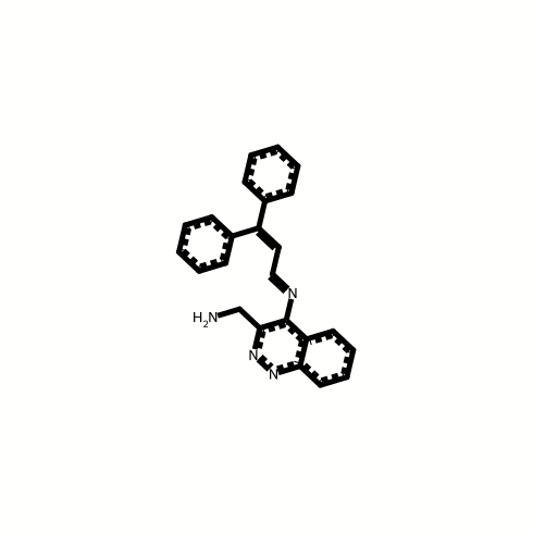 NCc1nnc2ccccc2c1/N=C/C=C(c1ccccc1)c1ccccc1